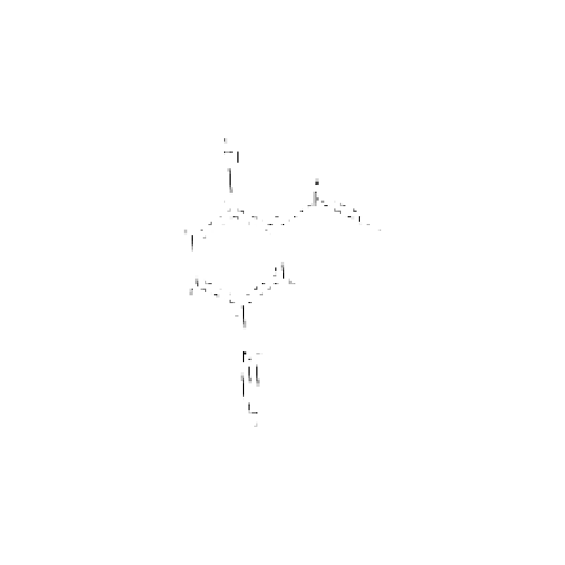 [C-]#[N+]c1ccc(O)c(N=O)c1